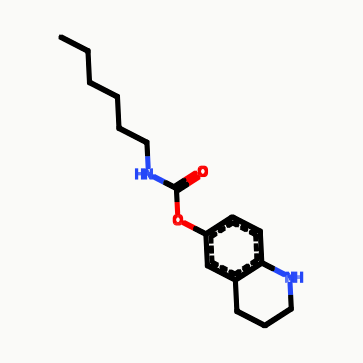 CCCCCCNC(=O)Oc1ccc2c(c1)CCCN2